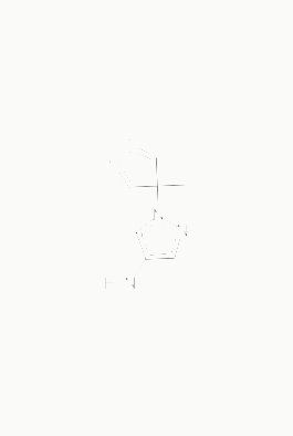 CC(C=O)(C=O)n1cc(N)cn1